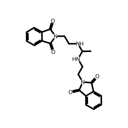 CC(NCCN1C(=O)c2ccccc2C1=O)NCCN1C(=O)c2ccccc2C1=O